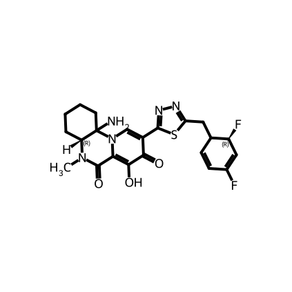 CN1C(=O)c2c(O)c(=O)c(-c3nnc(CC4C=CC(F)=C[C@@H]4F)s3)cn2C2(N)CCCC[C@@H]12